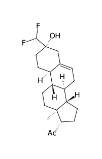 CC(=O)[C@H]1CC[C@H]2[C@@H]3CC=C4C[C@](O)(C(F)F)CC[C@@H]4[C@H]3CC[C@]12C